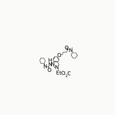 CCOC(=O)CN1Cc2cc(OCCCC(=O)N(C)C3CCCCC3)ccc2N(NC(=O)N(C)C2CCCCC2)C1